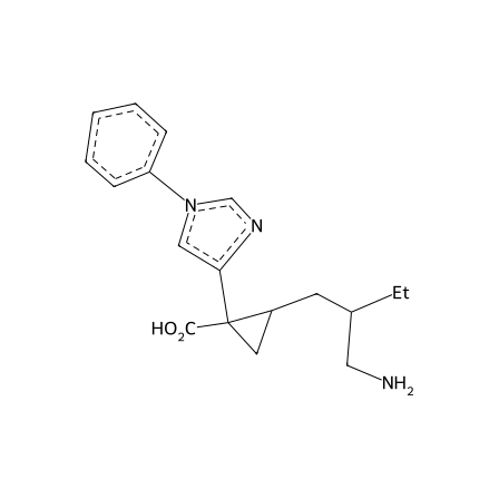 CCC(CN)CC1CC1(C(=O)O)c1cn(-c2ccccc2)cn1